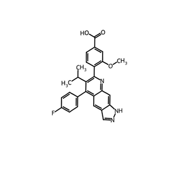 COc1cc(C(=O)O)ccc1-c1nc2cc3[nH]ncc3cc2c(-c2ccc(F)cc2)c1C(C)C